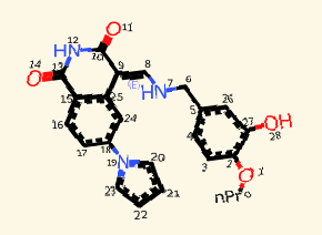 CCCOc1ccc(CN/C=C2/C(=O)NC(=O)c3ccc(-n4cccc4)cc32)cc1O